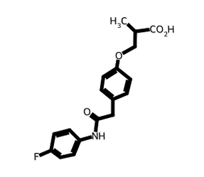 CC(COc1ccc(CC(=O)Nc2ccc(F)cc2)cc1)C(=O)O